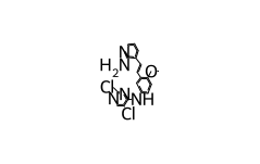 COc1ccc(Nc2nc(Cl)ncc2Cl)cc1/C=C/c1cccnc1N